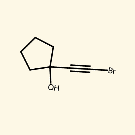 OC1(C#CBr)CCCC1